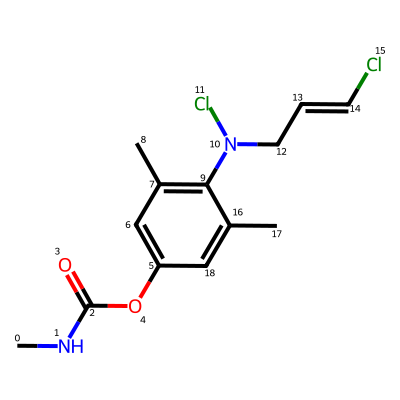 CNC(=O)Oc1cc(C)c(N(Cl)CC=CCl)c(C)c1